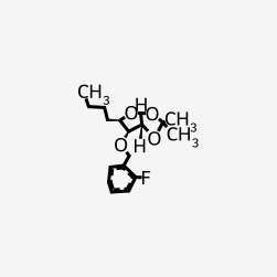 CCCC[C@H]1O[C@@H]2OC(C)(C)O[C@@H]2[C@H]1OCc1ccccc1F